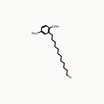 COc1ccc(OC)c(CCCCCCCCCCCCBr)c1